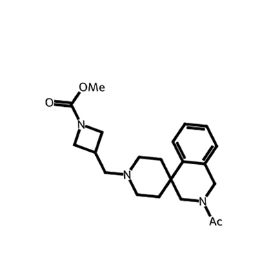 COC(=O)N1CC(CN2CCC3(CC2)CN(C(C)=O)Cc2ccccc23)C1